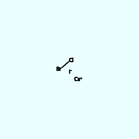 ClBr.[Cs+].[I-]